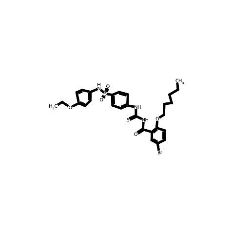 CCCCCCOc1ccc(Br)cc1C(=O)NC(=S)Nc1ccc(S(=O)(=O)Nc2ccc(OCC)cc2)cc1